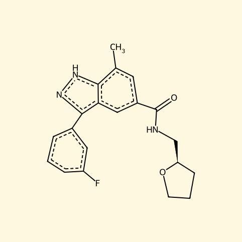 Cc1cc(C(=O)NC[C@H]2CCCO2)cc2c(-c3cccc(F)c3)n[nH]c12